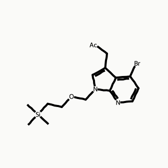 CC(=O)Cc1cn(COCC[Si](C)(C)C)c2nccc(Br)c12